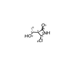 C[C@@H](O)[C@H]1C(=O)N[C@H]1Cl